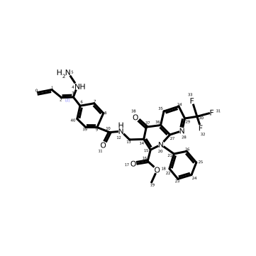 C=C/C=C(\NN)c1ccc(C(=O)NCc2c(C(=O)OC)n(-c3ccccc3)c3nc(C(F)(F)F)ccc3c2=O)cc1